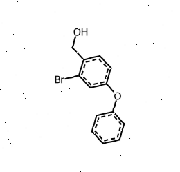 OCc1ccc(Oc2ccccc2)cc1Br